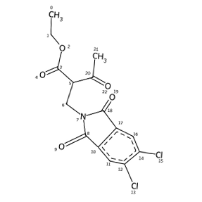 CCOC(=O)C(CN1C(=O)c2cc(Cl)c(Cl)cc2C1=O)C(C)=O